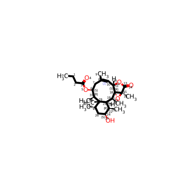 CCCC(=O)O[C@H]1C/C(C)=C\[C@@H]2OC(=O)[C@@]3(C)O[C@]23[C@@H](C)[C@H]2[C@@H](C)[C@@H](O)C[C@H](C)[C@]2(C)[C@H]1C